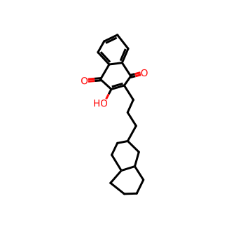 O=C1C(O)=C(CCCC2CCC3CCCCC3C2)C(=O)c2ccccc21